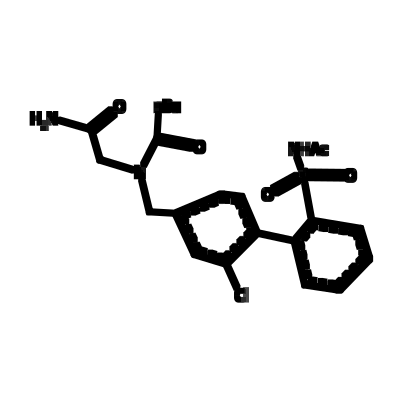 CCCCC(=O)N(CC(N)=O)Cc1ccc(-c2ccccc2S(=O)(=O)NC(C)=O)c(Cl)c1